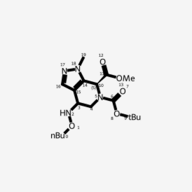 CCCCONC1CN(C(=O)OC(C)(C)C)[C@H](C(=O)OC)c2c1cnn2C